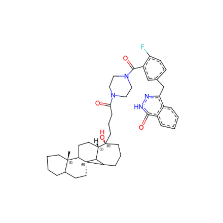 C[C@]12CCCCC1CC[C@]13C4CCC[C@@](O)(CCCC(=O)N5CCN(C(=O)c6cc(Cc7n[nH]c(=O)c8ccccc78)ccc6F)CC5)[C@@H](CCC21)C43